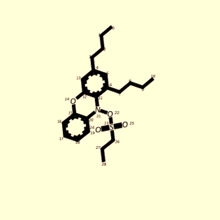 CCCCc1cc(CCCC)c2c(c1)Oc1ccccc1N2OS(=O)(=O)CCC